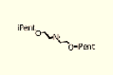 CCCC(C)OCC[N]CCOC(C)CCC